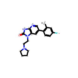 Cc1cc(F)ccc1-c1cnc2[nH]c(=O)n(CCN3CCCC3)c2c1